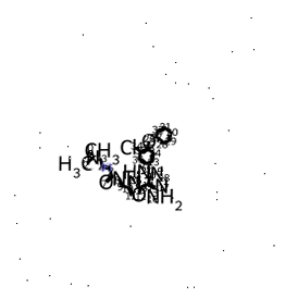 CN(C)C/C=C/C(=O)NCc1coc(-c2c(N)ncnc2Nc2ccc(Oc3ccccc3)c(Cl)c2)n1